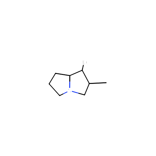 CCC1C(C)CN2CCCC12